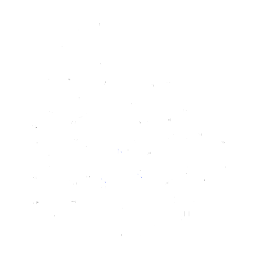 CC1(C)c2ccccc2-c2ccc(-c3nc(N4c5ccccc5C(C)(C)c5c4c4sc6ccccc6c4c4ccccc54)nc4c5ccccc5c5ccccc5c34)cc21